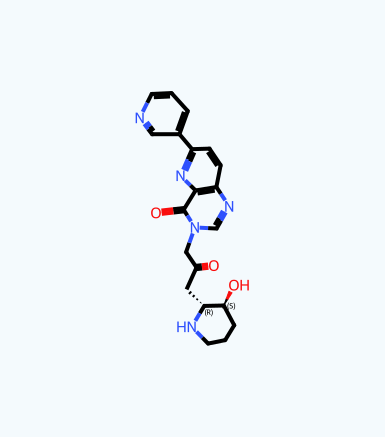 O=C(C[C@H]1NCCC[C@@H]1O)Cn1cnc2ccc(-c3cccnc3)nc2c1=O